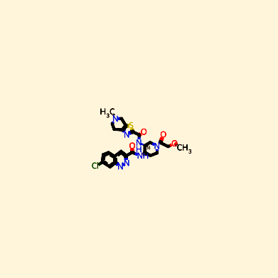 COCC(=O)N1CC[C@H](NC(=O)c2cc3ccc(Cl)cc3nn2)[C@@H](NC(=O)c2nc3c(s2)CN(C)CC3)C1